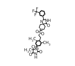 Cc1cc(N2C(=O)NC(=O)C2(C)C)cc(C)c1CCS(=O)(=O)N1CCC2(CC1)N=C(c1cccc(C(F)(F)F)c1)NC2=O